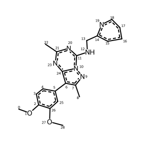 COc1ccc(-c2c(C)nn3c(NCc4ccccn4)nc(C)nc23)cc1OC